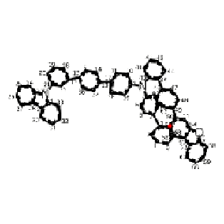 c1ccc(-c2ccc(N(c3ccc(-c4ccc(-c5cccc(-n6c7ccccc7c7ccccc76)c5)cc4)cc3)c3ccccc3-c3ccc(-c4ccc5c(c4)oc4ccccc45)cc3)cc2)cc1